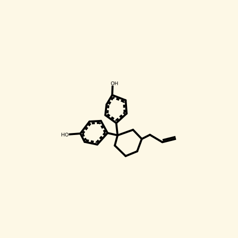 C=CCC1CCCC(c2ccc(O)cc2)(c2ccc(O)cc2)C1